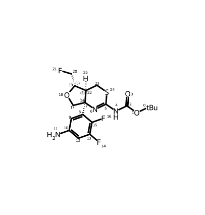 CC(C)(C)OC(=O)NC1=N[C@@]2(c3cc(N)cc(F)c3F)CO[C@H](CF)[C@H]2CS1